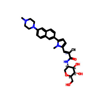 CN1CCN(c2ccc3cc(-c4ccc(/C=C(\C#N)C(=O)N[C@H]5CO[C@H](CO)[C@@H](O)[C@@H]5O)n4C)ccc3c2)CC1